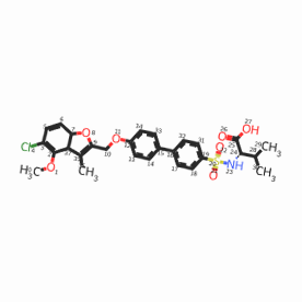 COC1=C(Cl)C=CC2OC(COc3ccc(-c4ccc(S(=O)(=O)N[C@H](C(=O)O)C(C)C)cc4)cc3)=C(C)C12